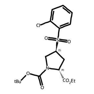 CCOC(=O)[C@H]1C[C@H](S(=O)(=O)c2ccccc2Cl)CN1C(=O)OC(C)(C)C